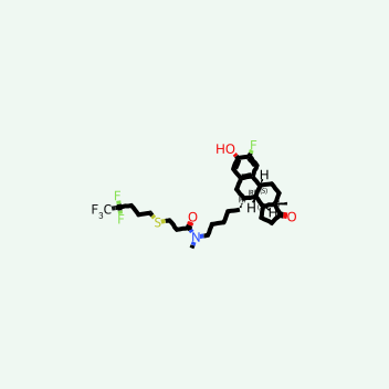 CN(CCCCC[C@@H]1Cc2cc(O)c(F)cc2[C@H]2CC[C@]3(C)C(=O)CC[C@H]3[C@H]12)C(=O)CCSCCCC(F)(F)C(F)(F)F